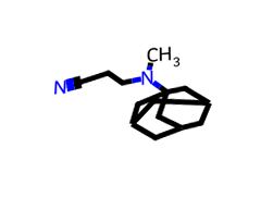 CN(CCC#N)C12CC3CC(CC(C3)C1)C2